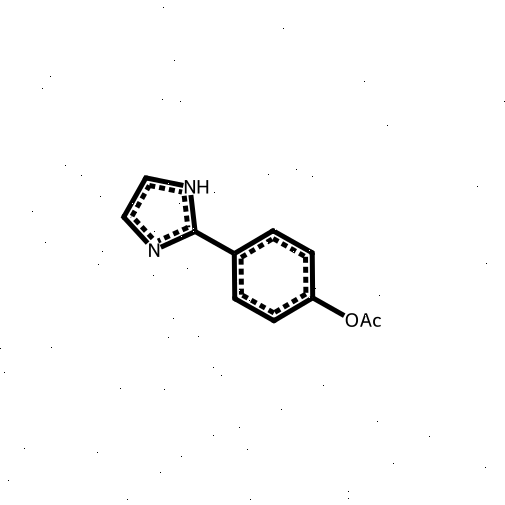 CC(=O)Oc1ccc(-c2ncc[nH]2)cc1